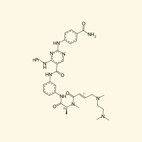 CCCNc1nc(Nc2ccc(C(N)=O)cc2)ncc1C(=O)Nc1cccc(NC(=O)[C@H](C)N(C)C(=O)/C=C/CN(C)CCN(C)C)c1